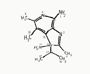 CC1=Nc2c(N)nc(C)c(C)c2[N+]1(N)C(C)C